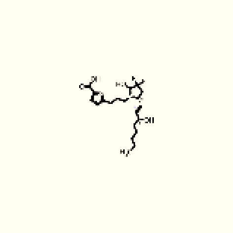 CCCCC[C@H](O)/C=C/[C@H]1CC(F)(F)C(O)N1CCCc1ccc(C(=O)O)s1